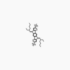 CCCCC(C=C1c2cc3c(cc2-c2s[c]([Sn]([CH3])([CH3])[CH3])cc21)C(=CC(CC)CCCC)c1c[c]([Sn]([CH3])([CH3])[CH3])sc1-3)CC